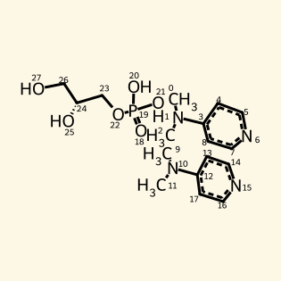 CN(C)c1ccncc1.CN(C)c1ccncc1.O=P(O)(O)OC[C@H](O)CO